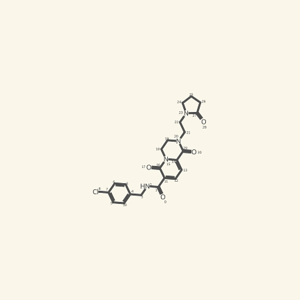 O=C(NCc1ccc(Cl)cc1)c1ccc2n(c1=O)CCN(CCN1CCCC1=O)C2=O